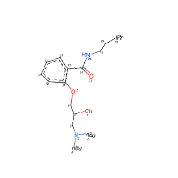 CCCCN(CCCC)CC(O)COc1ccccc1C(=O)NCCC(C)C